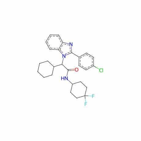 O=C(NC1CCC(F)(F)CC1)C(C1CCCCC1)n1c(-c2ccc(Cl)cc2)nc2ccccc21